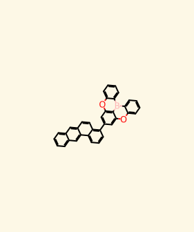 c1ccc2c(c1)Oc1cc(-c3cccc4c3ccc3cc5ccccc5cc34)cc3c1B2c1ccccc1O3